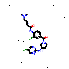 CN(C)C/C=C/C(=O)Nc1ccc(C(=O)N2CC[C@@H](Nc3ncc(Cl)cn3)C2)cc1Cl